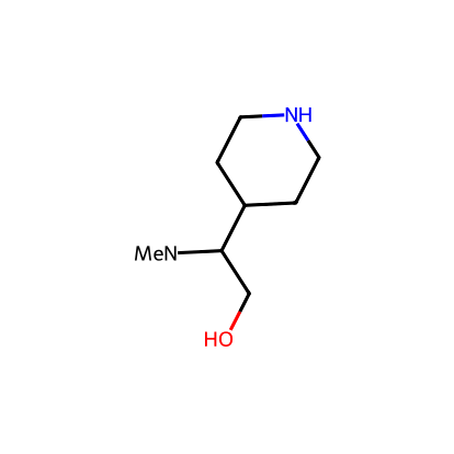 CNC(CO)C1CCNCC1